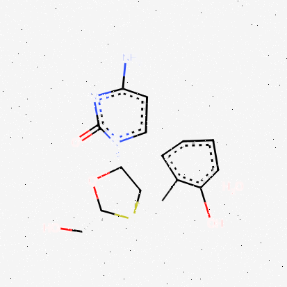 Nc1ccn([C@@H]2CS[C@H](CO)O2)c(=O)n1.O.O=C(O)c1ccccc1O